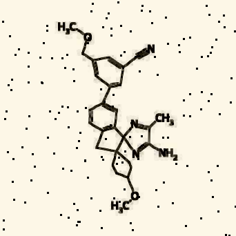 COCc1cc(C#N)cc(-c2ccc3c(c2)C2(N=C(C)C(N)=N2)C2(CCC(OC)CC2)C3)c1